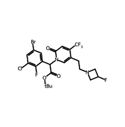 CC(C)(C)OC(=O)C(c1cc(Br)cc(Cl)c1F)n1cc(CCN2CC(F)C2)c(C(F)(F)F)cc1=O